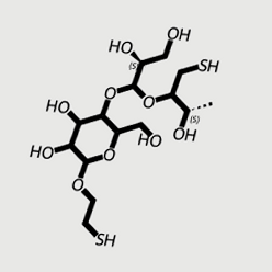 C[C@H](O)C(CS)OC(OC1C(CO)OC(OCCS)C(O)C1O)[C@@H](O)CO